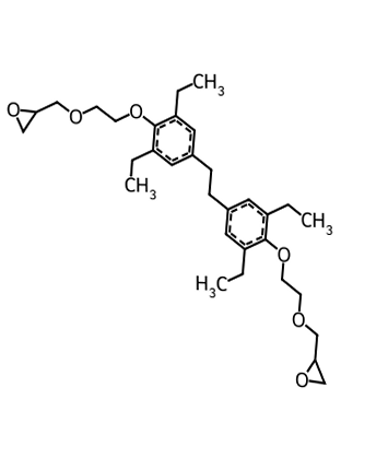 CCc1cc(CCc2cc(CC)c(OCCOCC3CO3)c(CC)c2)cc(CC)c1OCCOCC1CO1